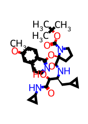 COc1ccc2c(O[C@]3(C(=O)N[C@@H](CC4CC4)C(O)C(=O)NC4CC4)CCCN3C(=O)OC(C)(C)C)nccc2c1